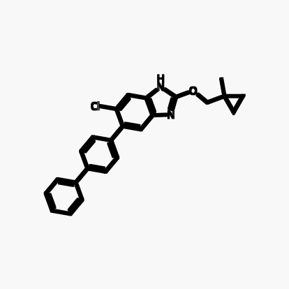 CC1(COc2nc3cc(-c4ccc(-c5ccccc5)cc4)c(Cl)cc3[nH]2)CC1